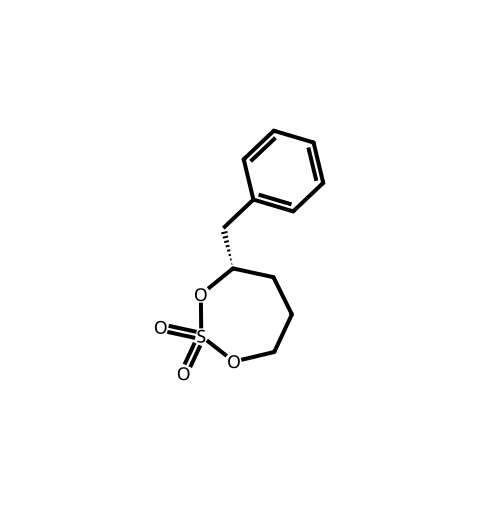 O=S1(=O)OCCC[C@@H](Cc2ccccc2)O1